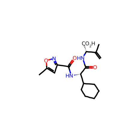 C=C(C)[C@H](NC(=O)[C@@H](NC(=O)c1cc(C)on1)C1CCCCC1)C(=O)O